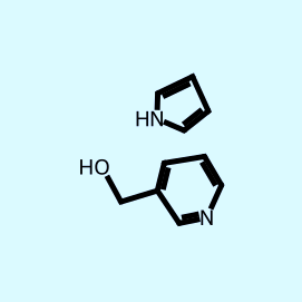 OCc1cccnc1.c1cc[nH]c1